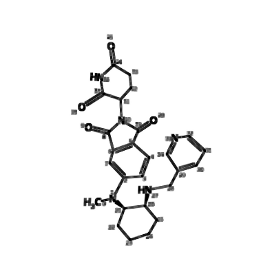 CN(c1ccc2c(c1)C(=O)N(C1CCC(=O)NC1=O)C2=O)[C@@H]1CCCC[C@@H]1NCc1cccnc1